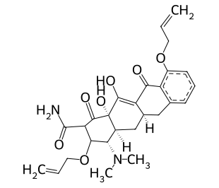 C=CCOc1cccc2c1C(=O)C1=C(O)[C@]3(O)C(=O)C(C(N)=O)C(OCC=C)[C@@H](N(C)C)[C@@H]3C[C@@H]1C2